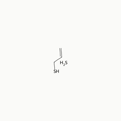 C=CCS.S